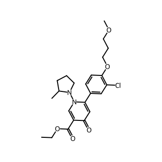 CCOC(=O)c1cn(N2CCCC2C)c(-c2ccc(OCCCOC)c(Cl)c2)cc1=O